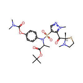 CC(C(=O)OC(C)(C)C)N(c1ccc(OC(=O)N(C)C)cc1)S(=O)(=O)c1cnn(C)c1C(=O)[C@]1(C)SCCN1C